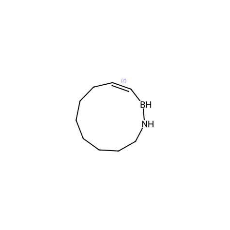 B1/C=C\CCCCCCCN1